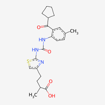 Cc1ccc(NC(=O)Nc2nc(CCC(C)C(=O)O)cs2)c(C(=O)C2CCCC2)c1